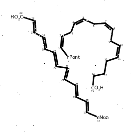 CCCCC/C=C\C/C=C\C/C=C\C/C=C\CCCC(=O)O.CCCCCCCCC/C=C/C=C/C=C/C=C/C=C/C=C/C(=O)O